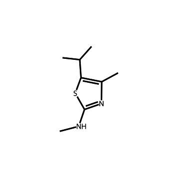 CNc1nc(C)c(C(C)C)s1